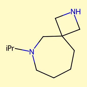 CC(C)N1CCCCC2(CNC2)C1